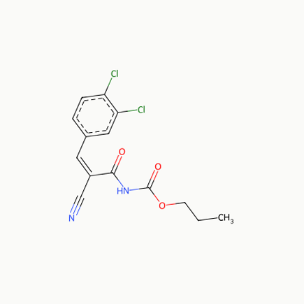 CCCOC(=O)NC(=O)/C(C#N)=C\c1ccc(Cl)c(Cl)c1